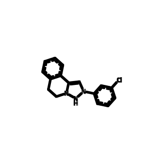 Clc1cccc(N2C=C3c4ccccc4CCN3N2)c1